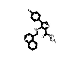 NNC(=O)c1scc(-c2ccc(F)cc2)c1NCc1ccnc2ccccc12